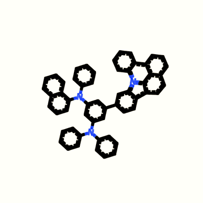 c1ccc(N(c2ccccc2)c2cc(-c3ccc4c5ccc6cccc7c8ccccc8n(c4c3)c5c67)cc(N(c3ccccc3)c3cccc4ccccc34)c2)cc1